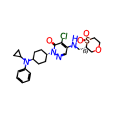 O=c1c(Cl)c(NC[C@H]2COCCS2(=O)=O)cnn1[C@H]1CC[C@H](N(c2ccccc2)C2CC2)CC1